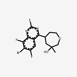 CC1(O)COCCC(c2nc(F)nc3c(F)c(Br)c(F)cc23)C1